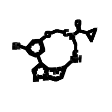 CCc1cc2cc(c1)-c1cnn3ccc(nc13)NCCN(C(=O)C1CC1)CCO2